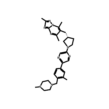 Cc1nc2nc(C)c(C[C@@H]3CCN(c4cnc(-c5ccc(CN6CCN(C)CC6)c(C)c5)cn4)C3)c(C)n2n1